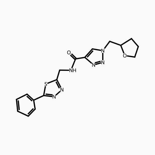 O=C(NCc1nnc(-c2ccccc2)s1)c1cn(CC2CCCO2)nn1